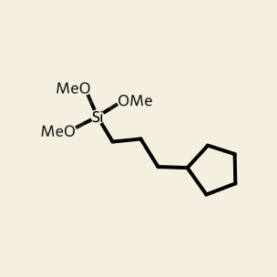 CO[Si](CCCC1CCCC1)(OC)OC